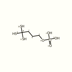 O=P(O)(O)OCCCC(S)(S)S